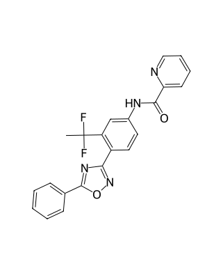 CC(F)(F)c1cc(NC(=O)c2ccccn2)ccc1-c1noc(-c2ccccc2)n1